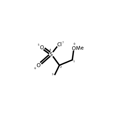 COCC(C)S(=O)(=O)Cl